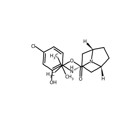 CC(C)(C)OC(=O)N1[C@@H]2CC[C@H]1C[C@@H](Nc1ccc(Cl)cc1O)C2